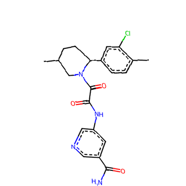 Cc1ccc(C2CCC(C)CN2C(=O)C(=O)Nc2cncc(C(N)=O)c2)cc1Cl